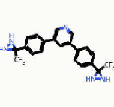 FC(F)(F)C1(c2ccc(-c3cncc(-c4ccc(C5(C(F)(F)F)NN5)cc4)c3)cc2)NN1